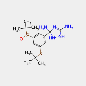 CC(C)(C)Sc1cc([S+]([O-])C(C)(C)C)cc(C2(N)N=C(N)NN2)c1